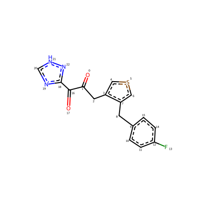 O=C(Cc1cscc1Cc1ccc(F)cc1)C(=O)c1nc[nH]n1